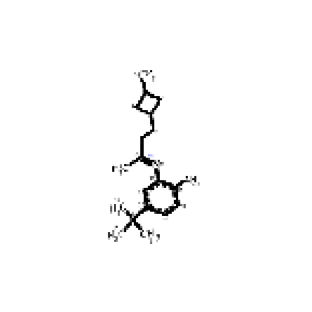 C/C(CCC1CC(C)C1)=N\c1cc(C(C)(C)C)ccc1C